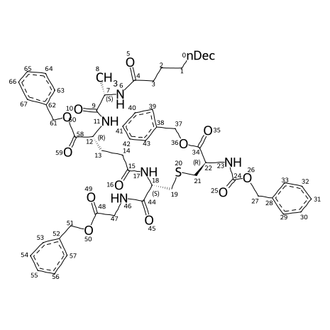 CCCCCCCCCCCCCC(=O)N[C@@H](C)C(=O)N[C@H](CCC(=O)N[C@H](CSC[C@H](NC(=O)OCc1ccccc1)C(=O)OCc1ccccc1)C(=O)NCC(=O)OCc1ccccc1)C(=O)OCc1ccccc1